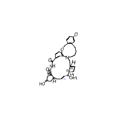 O=C1NS(=O)(=O)[C@@H]2C[C@H](O)C[C@H]2C/C=C/[C@H](O)[C@@H]2CC[C@H]2CN2CCCCc3cc(Cl)ccc3COc3ccc1cc32